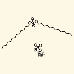 CCCCCCCCCCCCCOS(=O)(=O)OCCCCCCCCCCCCC.O=S(=O)([O-])[O-].[Na+].[Na+]